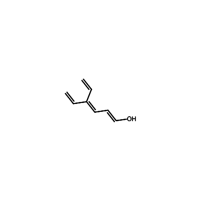 C=CC(C=C)=C/C=C/O